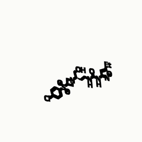 CCc1cc(NC(=O)NCC[C@@H](CO)N2CC(S(=O)(=O)c3ccc(Cl)cc3)C2)no1